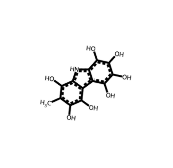 Cc1c(O)c(O)c2c([nH]c3c(O)c(O)c(O)c(O)c32)c1O